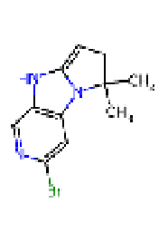 CC1(C)CC=C2Nc3cnc(Br)cc3N21